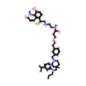 CCCN(CC1(C)CCN(Cc2cccc(CCOCCC(=O)N(C)CCNCC(O)c3ccc(O)c(NC)c3/C=C\C=O)c2)CC1)c1cc(C(C)C)ccn1